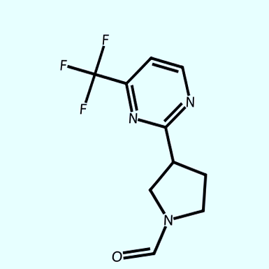 O=CN1CCC(c2nccc(C(F)(F)F)n2)C1